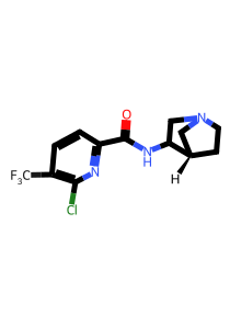 O=C(NC1CN2CC[C@H]1C2)c1ccc(C(F)(F)F)c(Cl)n1